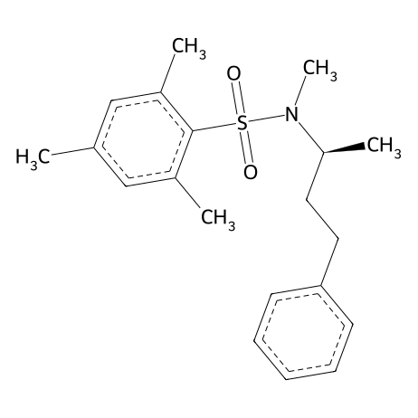 Cc1cc(C)c(S(=O)(=O)N(C)[C@@H](C)CCc2ccccc2)c(C)c1